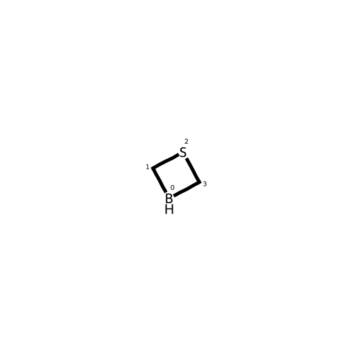 B1CSC1